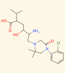 CC(C)C(CC(O)C(N)CN1CC(=O)N(c2ccccc2Cl)CC1(C)C)C(=O)O